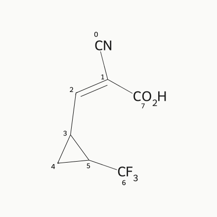 N#CC(=CC1CC1C(F)(F)F)C(=O)O